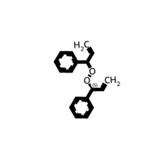 C=CC(OO[C@@H](C=C)c1ccccc1)c1ccccc1